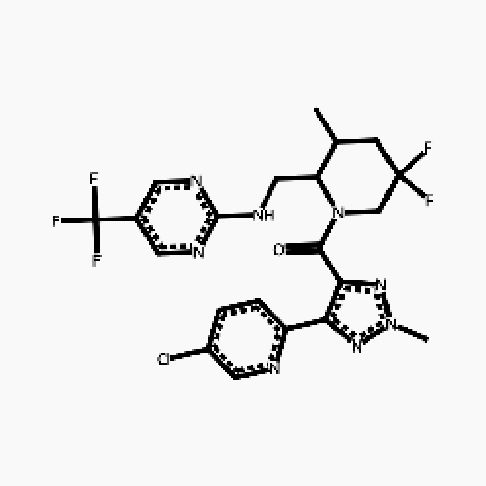 CC1CC(F)(F)CN(C(=O)c2nn(C)nc2-c2ccc(Cl)cn2)C1CNc1ncc(C(F)(F)F)cn1